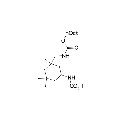 CCCCCCCCOC(=O)NCC1(C)CC(NC(=O)O)CC(C)(C)C1